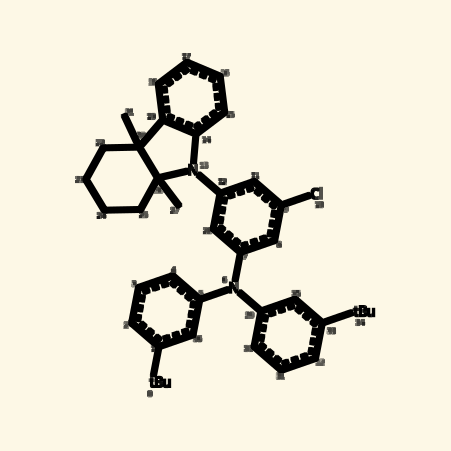 CC(C)(C)c1cccc(N(c2cc(Cl)cc(N3c4ccccc4C4(C)CCCCC34C)c2)c2cccc(C(C)(C)C)c2)c1